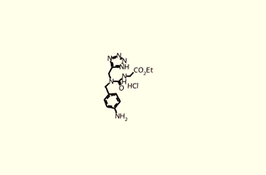 CCOC(=O)CNC(=O)N(Cc1ccc(N)cc1)Cc1nnn[nH]1.Cl